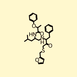 CC(C)CC(CNC(Cc1ccccc1)C(=O)CSCc1ccco1)NC(=O)C(C)Oc1ccccc1